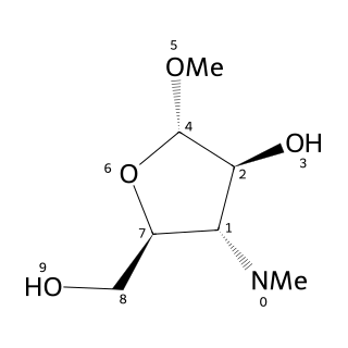 CN[C@H]1[C@H](O)[C@@H](OC)O[C@@H]1CO